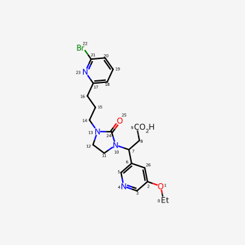 CCOc1cncc(C(CC(=O)O)N2CCN(CCCc3cccc(Br)n3)C2=O)c1